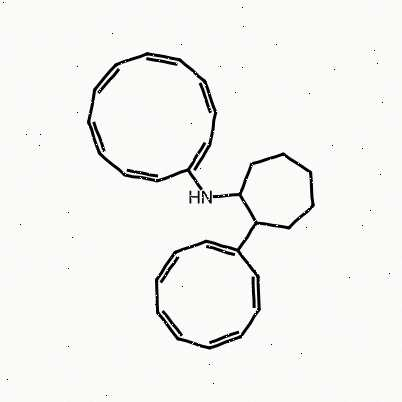 C1=C\C=C/C=C\C(NC2CCCCCC2c2ccccccccc2)=C/C=C\C=C/1